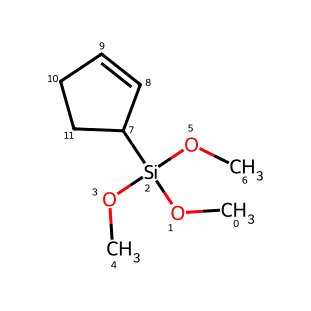 CO[Si](OC)(OC)C1C=CCC1